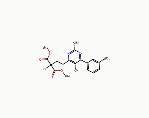 CCC(CCc1nc(SC)nc(-c2cccc([N+](=O)[O-])c2)c1C#N)(C(=O)OC(C)(C)C)C(=O)OC(C)(C)C